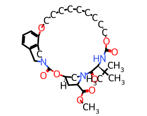 COC(=O)C1C[C@@H]2CN1C(=O)[C@H](C(C)(C)C)NC(=O)OCCCCCCCCCOc1cccc3c1CN(C3)C(=O)O2